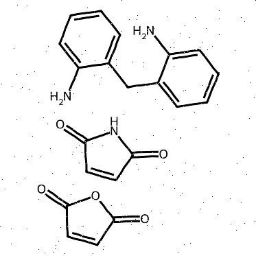 Nc1ccccc1Cc1ccccc1N.O=C1C=CC(=O)N1.O=C1C=CC(=O)O1